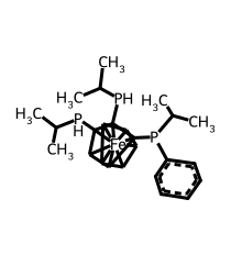 CC(C)P[C]12[CH]3[CH]4[C]5(P(c6ccccc6)C(C)C)[C]1(PC(C)C)[Fe]34251678[CH]2[CH]1[CH]6[CH]7[CH]28